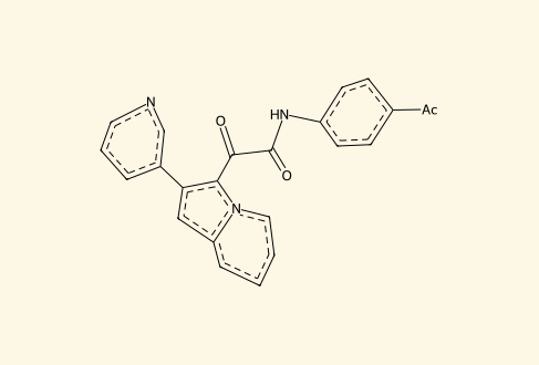 CC(=O)c1ccc(NC(=O)C(=O)c2c(-c3cccnc3)cc3ccccn23)cc1